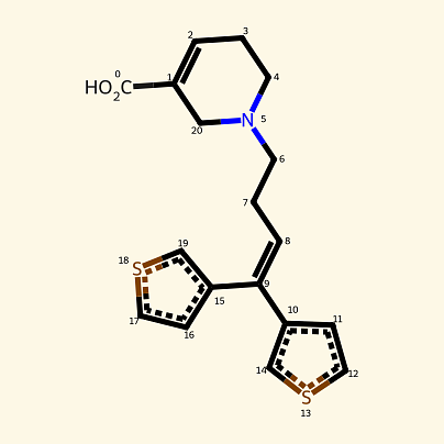 O=C(O)C1=CCCN(CCC=C(c2ccsc2)c2ccsc2)C1